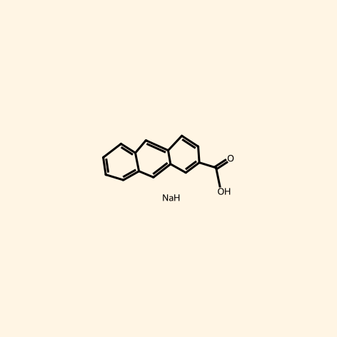 O=C(O)c1ccc2cc3ccccc3cc2c1.[NaH]